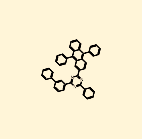 c1ccc(-c2cccc(-c3nc(-c4ccccc4)nc(-c4ccc5c(-c6ccccc6)c6ccccc6c(-c6ccccc6)c5c4)n3)c2)cc1